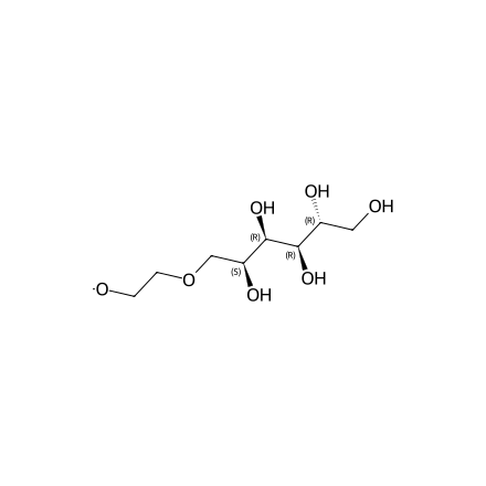 [O]CCOC[C@H](O)[C@@H](O)[C@H](O)[C@H](O)CO